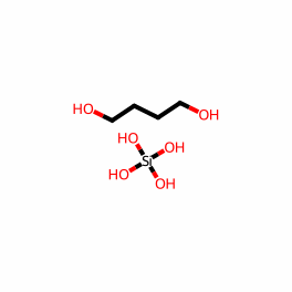 OCCCCO.O[Si](O)(O)O